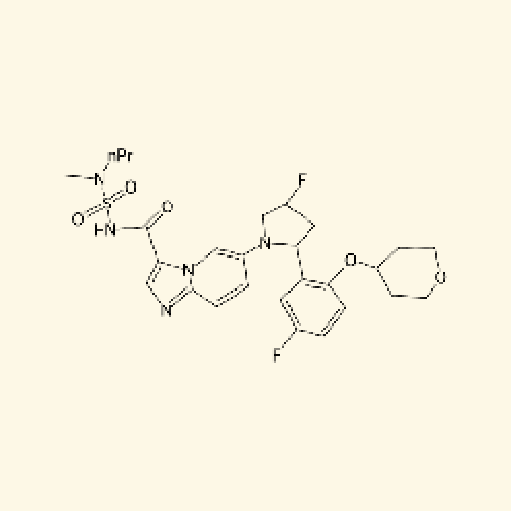 CCCN(C)S(=O)(=O)NC(=O)c1cnc2ccc(N3CC(F)CC3c3cc(F)ccc3OC3CCOCC3)cn12